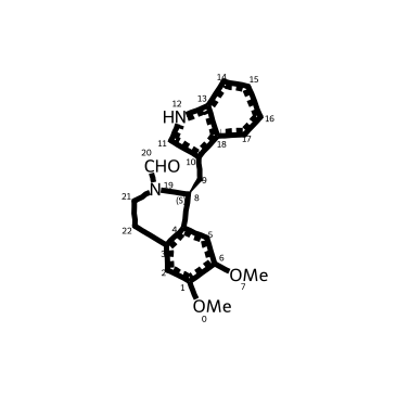 COc1cc2c(cc1OC)[C@H](Cc1c[nH]c3ccccc13)N(C=O)CC2